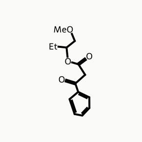 CCC(COC)OC(=O)CC(=O)c1ccccc1